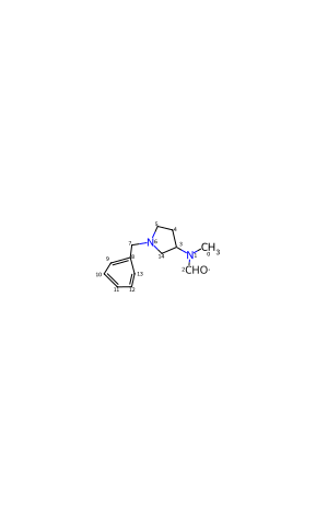 CN([C]=O)C1CCN(Cc2ccccc2)C1